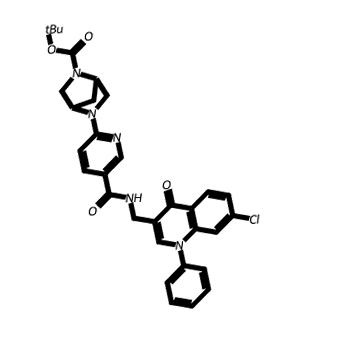 CC(C)(C)OC(=O)N1CC2CC1CN2c1ccc(C(=O)NCc2cn(-c3ccccc3)c3cc(Cl)ccc3c2=O)cn1